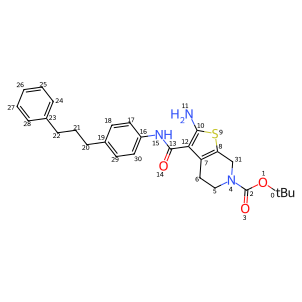 CC(C)(C)OC(=O)N1CCc2c(sc(N)c2C(=O)Nc2ccc(CCCc3ccccc3)cc2)C1